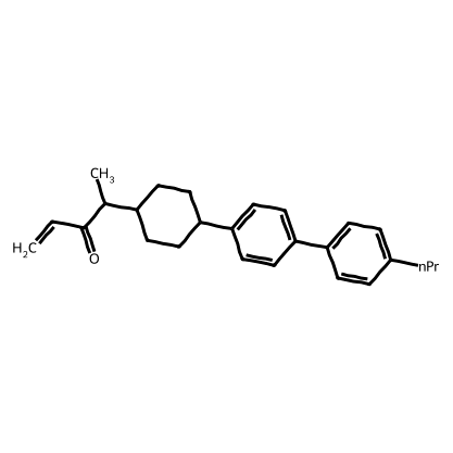 C=CC(=O)C(C)C1CCC(c2ccc(-c3ccc(CCC)cc3)cc2)CC1